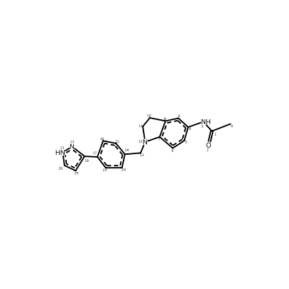 CC(=O)Nc1ccc2c(c1)CCN2Cc1ccc(-c2cc[nH]n2)cc1